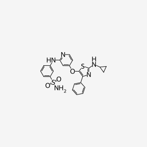 NS(=O)(=O)c1cccc(Nc2cc(Oc3sc(NC4CC4)nc3-c3ccccc3)ccn2)c1